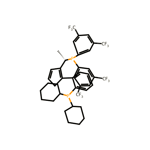 C[C@@H](C1=C(c2ccccc2P(C2CCCCC2)C2CCCCC2)CC=C1)P(c1cc(C(F)(F)F)cc(C(F)(F)F)c1)c1cc(C(F)(F)F)cc(C(F)(F)F)c1